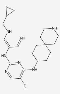 N=C/C(=C\NCC1CC1)Nc1ncc(Cl)c(NC2CCC3(CCNCC3)CC2)n1